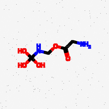 NCC(=O)OCNC(O)(O)O